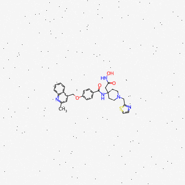 Cc1cc(COc2ccc(C(=O)NC3(CC(=O)NO)CCN(Cc4nccs4)CC3)cc2)c2ccccc2n1